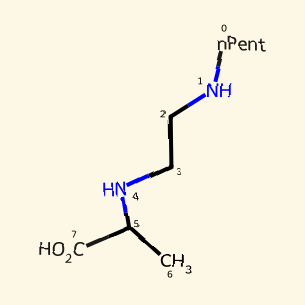 CCCCCNCCNC(C)C(=O)O